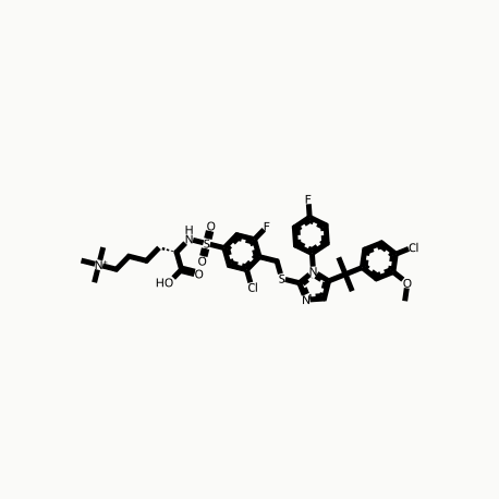 COc1cc(C(C)(C)c2cnc(SCc3c(F)cc(S(=O)(=O)N[C@@H](CCCC[N+](C)(C)C)C(=O)O)cc3Cl)n2-c2ccc(F)cc2)ccc1Cl